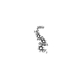 CNCCNc1nc2ccc(C(=O)Nc3cc(NC(=O)c4cccc(C(F)(F)F)c4)ccc3C)cc2s1